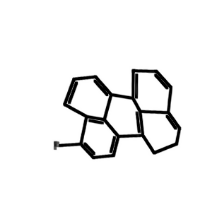 Fc1ccc2c3c4c(cccc4c4cccc1c24)=CCC3